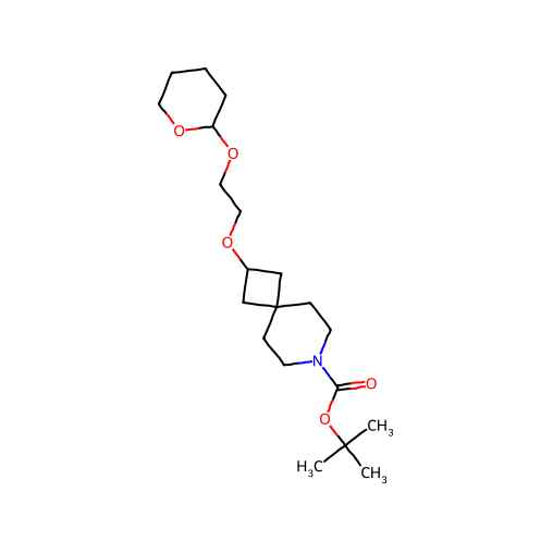 CC(C)(C)OC(=O)N1CCC2(CC1)CC(OCCOC1CCCCO1)C2